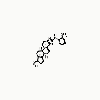 C[C@]12CCc3nc(Nc4ccccc4[N+](=O)[O-])sc3C1=CC[C@@H]1[C@@H]2CC[C@]2(C)/C(=N/O)CC[C@@H]12